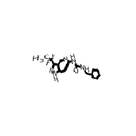 CC(F)(F)c1n[nH]c2cc(NC(=O)NCc3ccccc3)ncc12